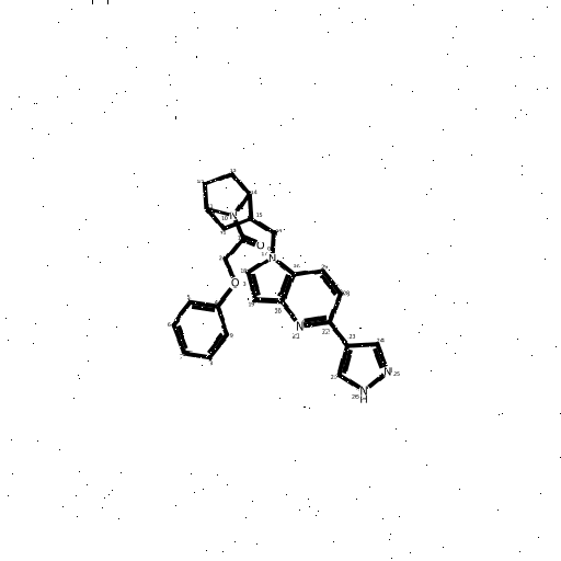 O=C(COc1ccccc1)N1C2CCC1C(Cn1ccc3nc(-c4cn[nH]c4)ccc31)C2